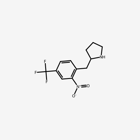 O=[N+]([O-])c1cc(C(F)(F)F)ccc1CC1CCCN1